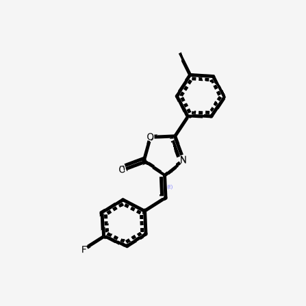 Cc1cccc(C2=N/C(=C/c3ccc(F)cc3)C(=O)O2)c1